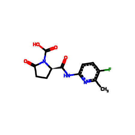 Cc1nc(NC(=O)[C@@H]2CCC(=O)N2C(=O)O)ccc1F